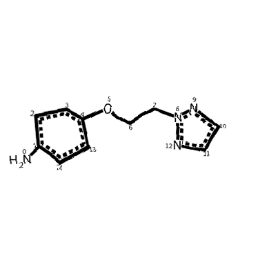 Nc1ccc(OCCn2nccn2)cc1